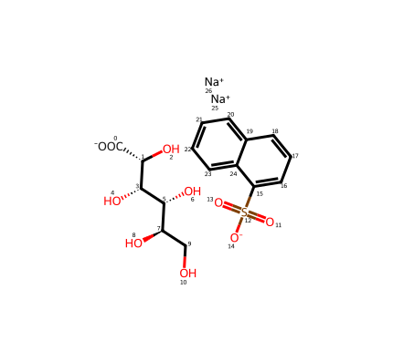 O=C([O-])[C@H](O)[C@@H](O)[C@H](O)[C@H](O)CO.O=S(=O)([O-])c1cccc2ccccc12.[Na+].[Na+]